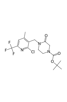 Cc1cc(C(F)(F)F)nc(Cl)c1CN1CCN(C(=O)OC(C)(C)C)CC1=O